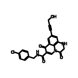 O=C(NCc1ccc(Cl)cc1)c1cn2c3c(cc(C#CCO)cc3c1=O)NCC2=O